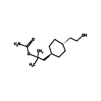 CC(C)(C[C@H]1CC[C@H](CCO)CC1)OC(N)=O